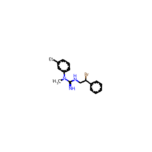 CCc1cccc(N(C)C(=N)NCC(Br)c2ccccc2)c1